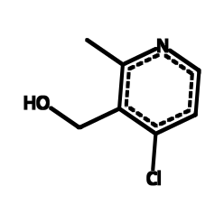 Cc1nccc(Cl)c1CO